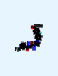 CNC(=O)c1ccc(C2(F)CCC(N3CC[C@@H](NC(=O)CNC(=O)c4cccc(C(F)(F)F)c4)C3)CC2)cc1